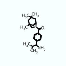 CC(C)C(N)c1ccc(C(=O)N2CC3(C)CC2CC(C)(C)C3)cc1